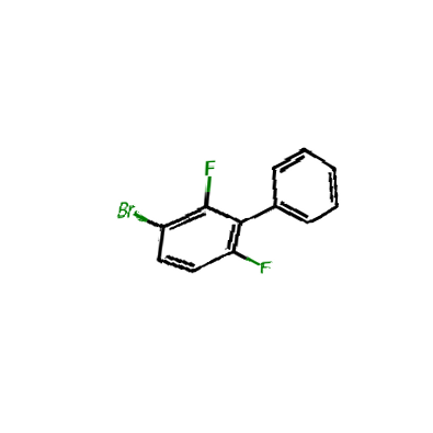 Fc1ccc(Br)c(F)c1-c1ccccc1